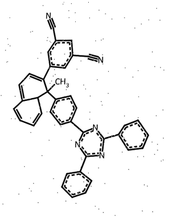 CC1(c2ccc(-c3nc(-c4ccccc4)nc(-c4ccccc4)n3)cc2)C(c2cc(C#N)cc(C#N)c2)=CC=C2C=CC=CC21